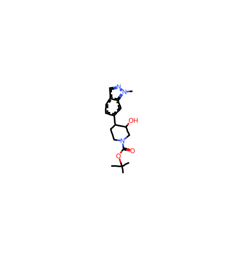 Cn1ncc2ccc(C3CCN(C(=O)OC(C)(C)C)CC3O)cc21